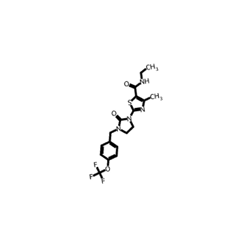 CCNC(=O)c1sc(N2CCN(Cc3ccc(OC(F)(F)F)cc3)C2=O)nc1C